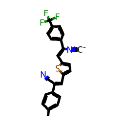 [C-]#[N+]/C(=C\c1ccc(/C=C(\C#N)c2ccc(C)cc2)s1)c1ccc(C(F)(F)F)cc1